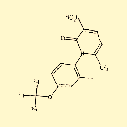 [2H]C([2H])([2H])Oc1ccc(-n2c(C(F)(F)F)ccc(C(=O)O)c2=O)c(C)c1